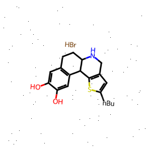 Br.CCCCc1cc2c(s1)C1c3cc(O)c(O)cc3CCC1NC2